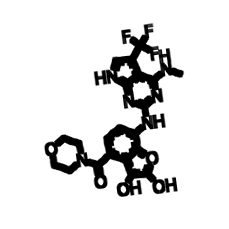 CNc1nc(Nc2ccc(C(=O)N3CCOCC3)c3c(O)c(O)oc23)nc2[nH]cc(C(F)(F)F)c12